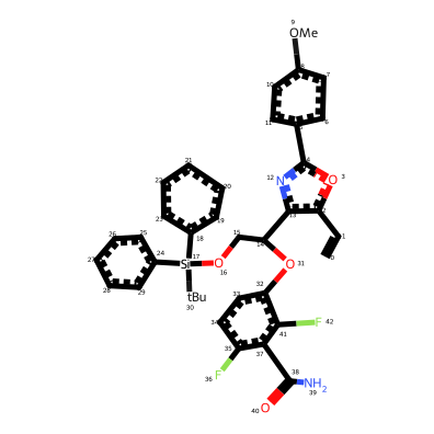 C=Cc1oc(-c2ccc(OC)cc2)nc1C(CO[Si](c1ccccc1)(c1ccccc1)C(C)(C)C)Oc1ccc(F)c(C(N)=O)c1F